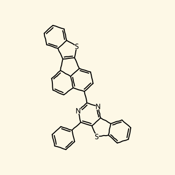 c1ccc(-c2nc(-c3ccc4c5c(cccc35)-c3c-4sc4ccccc34)nc3c2sc2ccccc23)cc1